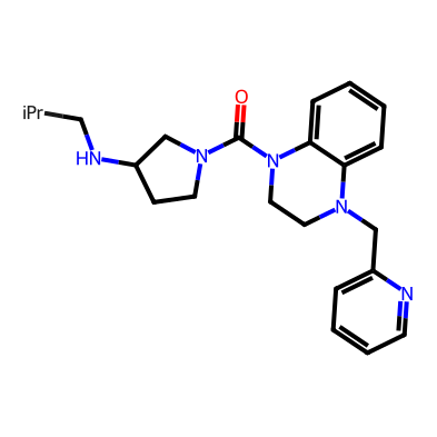 CC(C)CNC1CCN(C(=O)N2CCN(Cc3ccccn3)c3ccccc32)C1